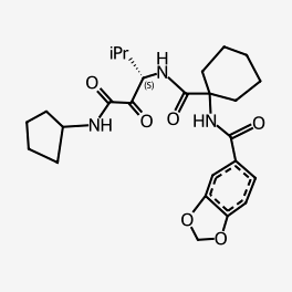 CC(C)[C@H](NC(=O)C1(NC(=O)c2ccc3c(c2)OCO3)CCCCC1)C(=O)C(=O)NC1CCCC1